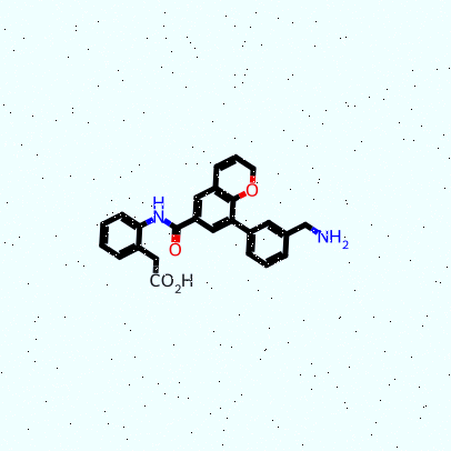 NCc1cccc(-c2cc(C(=O)Nc3ccccc3CC(=O)O)cc3c2OCC=C3)c1